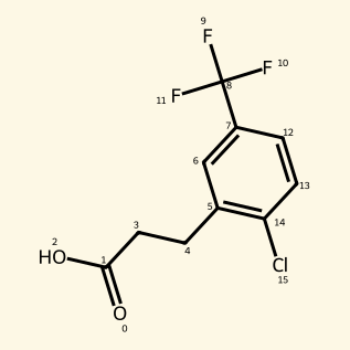 O=C(O)CCc1cc(C(F)(F)F)ccc1Cl